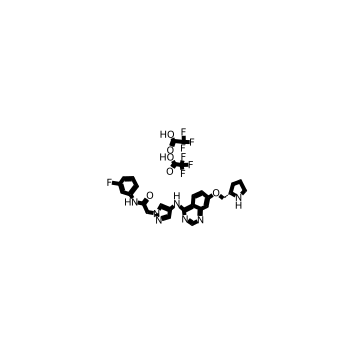 O=C(Cn1cc(Nc2ncnc3cc(OC[C@@H]4CCCN4)ccc23)cn1)Nc1cccc(F)c1.O=C(O)C(F)(F)F.O=C(O)C(F)(F)F